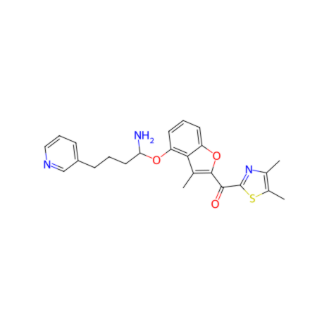 Cc1nc(C(=O)c2oc3cccc(OC(N)CCCc4cccnc4)c3c2C)sc1C